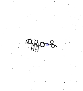 CCOC(=O)/C=C/c1ccc(NC(=O)Nc2cccnc2)cc1